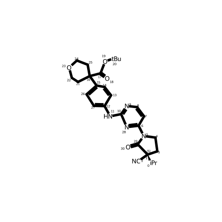 CC(C)[C@]1(C#N)CCN(c2ccnc(Nc3ccc(C4(C(=O)OC(C)(C)C)CCOCC4)cc3)n2)C1=O